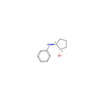 O[C@H]1CCC[C@@H]1Nc1ccccc1